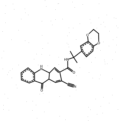 CC(C)(NC(=O)C1=CC2Nc3ccccc3C(=O)C2C=C1C#N)c1ccc2c(c1)OCCO2